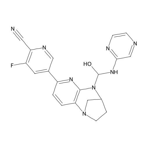 N#Cc1ncc(-c2ccc3c(n2)N(C(O)Nc2cnccn2)C2CCN3C2)cc1F